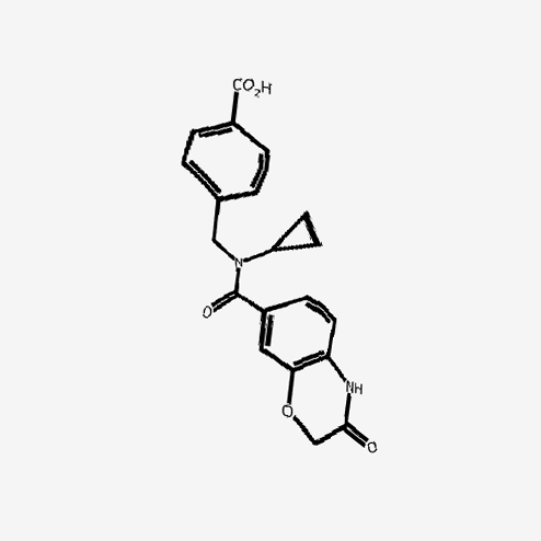 O=C1COc2cc(C(=O)N(Cc3ccc(C(=O)O)cc3)C3CC3)ccc2N1